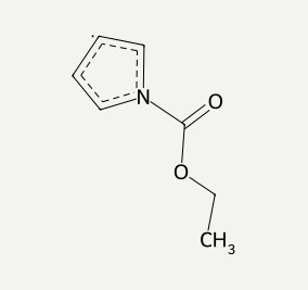 CCOC(=O)n1c[c]cc1